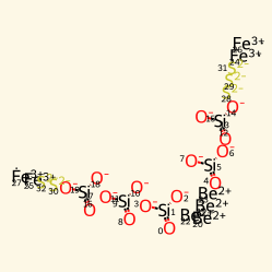 O=[Si]([O-])[O-].O=[Si]([O-])[O-].O=[Si]([O-])[O-].O=[Si]([O-])[O-].O=[Si]([O-])[O-].[Be+2].[Be+2].[Be+2].[Be+2].[Fe+3].[Fe+3].[Fe+3].[Fe+3].[S-2].[S-2].[S-2].[S-2].[S-2]